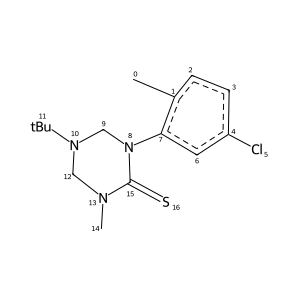 Cc1ccc(Cl)cc1N1CN(C(C)(C)C)CN(C)C1=S